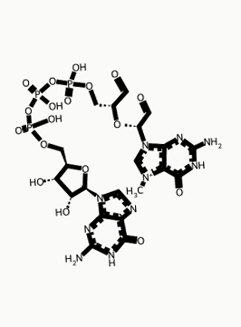 C[n+]1cn([C@@H](C=O)O[C@@H](C=O)COP(=O)(O)OP(=O)(O)OP(=O)(O)OC[C@H]2O[C@@H](n3cnc4c(=O)[nH]c(N)nc43)[C@H](O)[C@@H]2O)c2nc(N)[nH]c(=O)c21